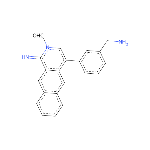 N=c1c2cc3ccccc3cc2c(-c2cccc(CN)c2)cn1C=O